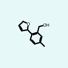 Cc1ccc(C2C=CCO2)c(CO)c1